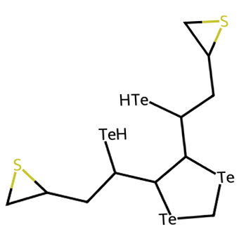 [TeH]C(CC1CS1)C1[Te]C[Te]C1C([TeH])CC1CS1